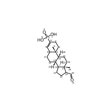 C[C@]12CCC(P(=O)(O)O)=CC1CC[C@@H]1[C@H]2CC[C@]2(C)C(C=O)CC[C@@H]12